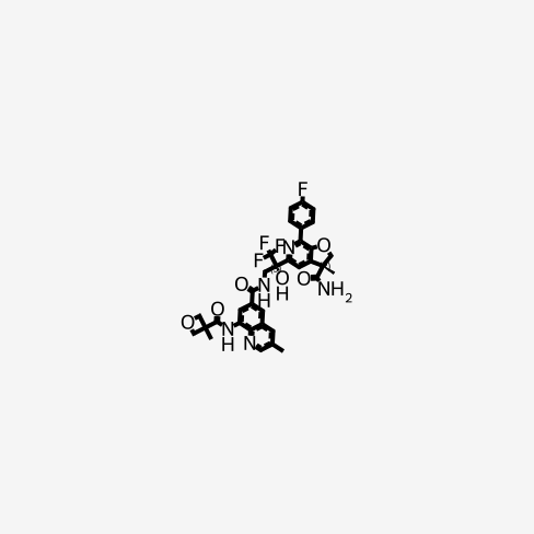 Cc1cnc2c(NC(=O)C3(C)COC3)cc(C(=O)NC[C@](O)(c3cc4c(c(-c5ccc(F)cc5)n3)OC[C@]4(C)C(N)=O)C(F)(F)F)cc2c1